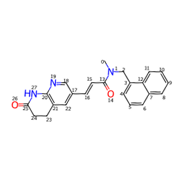 CN(Cc1cccc2ccccc12)C(=O)C=Cc1cnc2c(c1)CCC(=O)N2